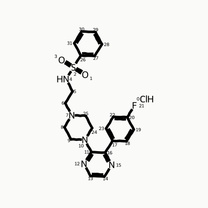 Cl.O=S(=O)(NCCN1CCN(c2nccnc2-c2ccc(F)cc2)CC1)c1ccccc1